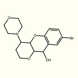 OC1c2cc(Br)ccc2OC2C1OCCC2N1CCOCC1